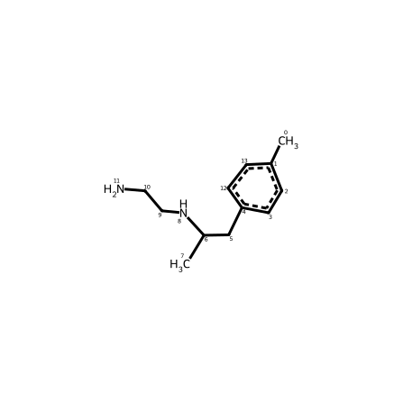 Cc1ccc(CC(C)NCCN)cc1